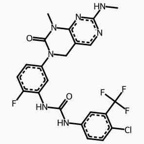 CNc1ncc2c(n1)N(C)C(=O)N(c1ccc(F)c(NC(=O)Nc3ccc(Cl)c(C(F)(F)F)c3)c1)C2